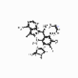 CCOc1c(C(C)n2nc(C)c3c(N)ncnc32)cc(Cl)c(F)c1[C@@H]1CNC(=O)O1.O=C(O)/C=C\C(=O)O